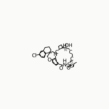 CC(C)[C@H]1CCCC[C@H](O)[C@@H]2CCC2CN2C[C@@]3(CCCc4cc(Cl)ccc43)COc3ccc(cc32)C(=O)NS1(=O)=O